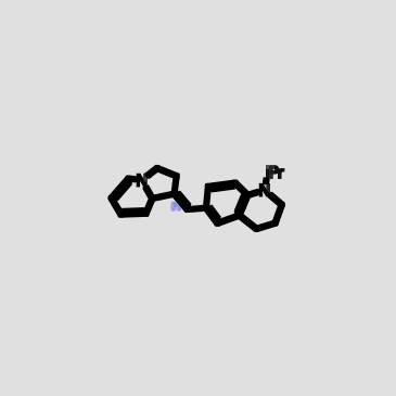 CC(C)N1CCCc2cc(/C=C3\CCN4C=CC=CC34)ccc21